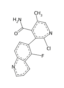 Cc1cnc(Cl)c(-c2ccc3ncccc3c2F)c1C(N)=O